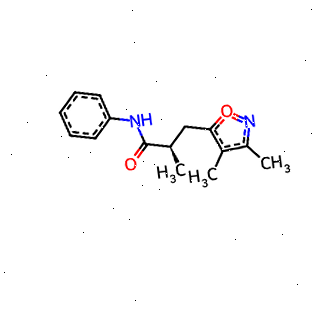 Cc1noc(C[C@@H](C)C(=O)Nc2ccccc2)c1C